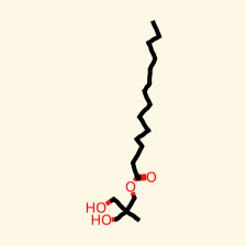 CCCCCCCCCCCCCC(=O)OCC(C)(CO)CO